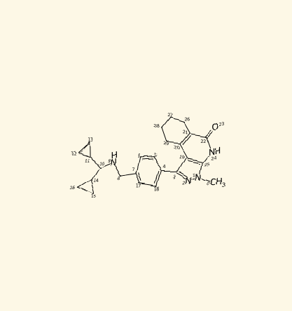 Cn1nc(-c2ccc(CNC(C3CC3)C3CC3)cc2)c2c3c(c(=O)[nH]c21)CCCC3